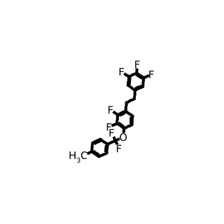 Cc1ccc(C(F)(F)Oc2ccc(CCc3cc(F)c(F)c(F)c3)c(F)c2F)cc1